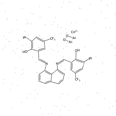 CC(=O)[O-].CC(=O)[O-].CC(C)c1cc(C(F)(F)F)cc(C=Nc2cccc3cccc(N=Cc4cc(C(F)(F)F)cc(C(C)C)c4O)c23)c1O.[Co+2]